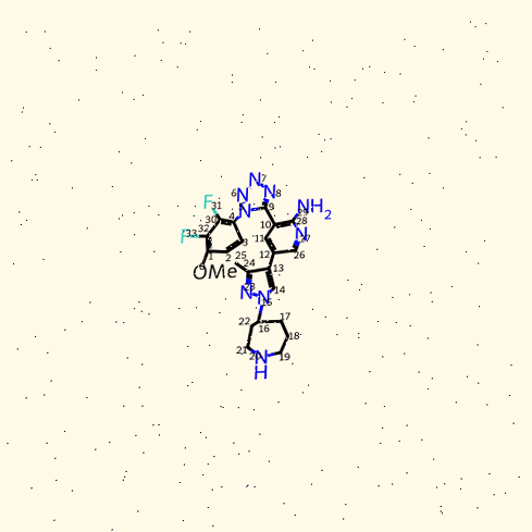 COc1ccc(-n2nnnc2-c2cc(-c3cn(C4CCCNCC4)nc3C)cnc2N)c(F)c1F